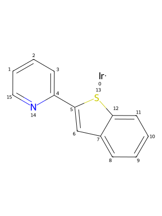 [Ir].c1ccc(-c2cc3ccccc3s2)nc1